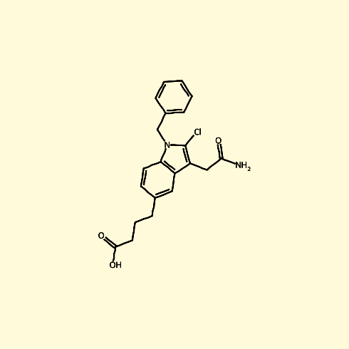 NC(=O)Cc1c(Cl)n(Cc2ccccc2)c2ccc(CCCC(=O)O)cc12